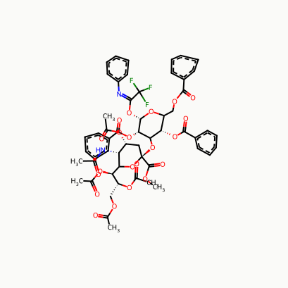 COC(=O)[C@@]1(OC2[C@@H](OC(=O)c3ccccc3)C(COC(=O)c3ccccc3)O[C@@H](O/C(=N/c3ccccc3)C(F)(F)F)[C@H]2OC(=O)c2ccccc2)C[C@@H](OC(C)=O)[C@@H](NC(C)=O)C([C@H](OC(C)=O)[C@@H](COC(C)=O)OC(C)=O)O1